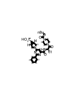 CCCCOC(=O)N1CCN(C(=O)[C@H](CC)NC(=O)c2cc(N3C[C@@H]4[C@H](C3)[C@@H]4C(=O)O)nc(-c3ccccc3)n2)CC1